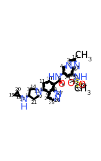 Cc1cn2cc(NC(=O)c3ccc(N4CCC(NC5CC5)CC4)c4ccnnc34)cc(NS(C)(=O)=O)c2n1